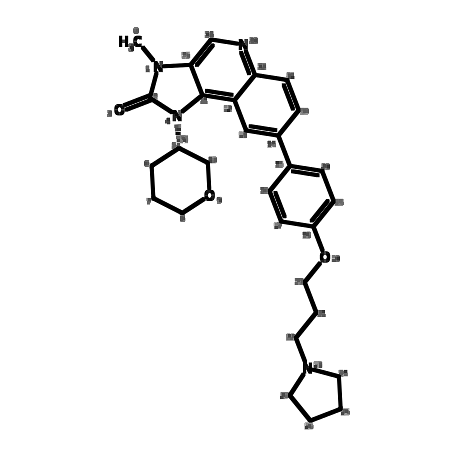 Cn1c(=O)n([C@H]2CCCOC2)c2c3cc(-c4ccc(OCCCN5CCCC5)cc4)ccc3ncc21